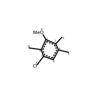 COc1c(C)c(C)cc(Cl)c1C